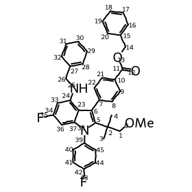 COCC(C)(C)c1c(-c2ccc(C(=O)OCc3ccccc3)cc2)c2c(NCc3ccccc3)cc(F)cc2n1-c1ccc(F)cc1